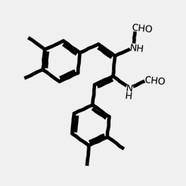 Cc1ccc(C=C(NC=O)/C(=C\c2ccc(C)c(C)c2)NC=O)cc1C